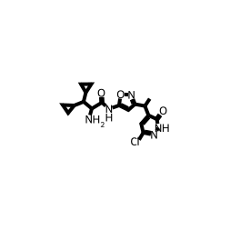 CC(c1cc(NC(=O)C(N)C(C2CC2)C2CC2)on1)c1cc(Cl)n[nH]c1=O